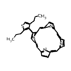 CCCc1csc(CCC)c1C1=CC2=CC3=NC(=CC4=NC(=CC5=NC(=CC1=N2)C=C5)C=C4)C=C3